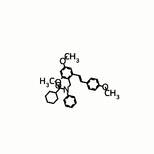 COc1ccc(C=Cc2cc(OC)cc(OC)c2CN(C(=O)C2CCCCC2)c2ccccc2)cc1